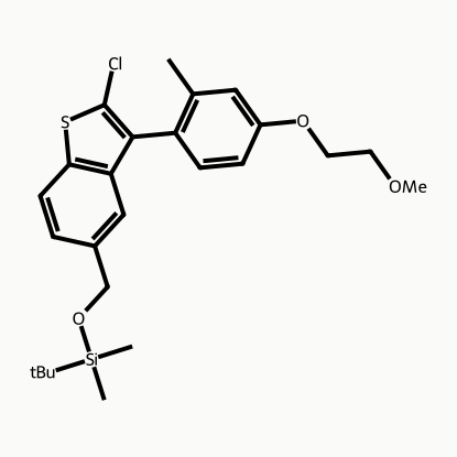 COCCOc1ccc(-c2c(Cl)sc3ccc(CO[Si](C)(C)C(C)(C)C)cc23)c(C)c1